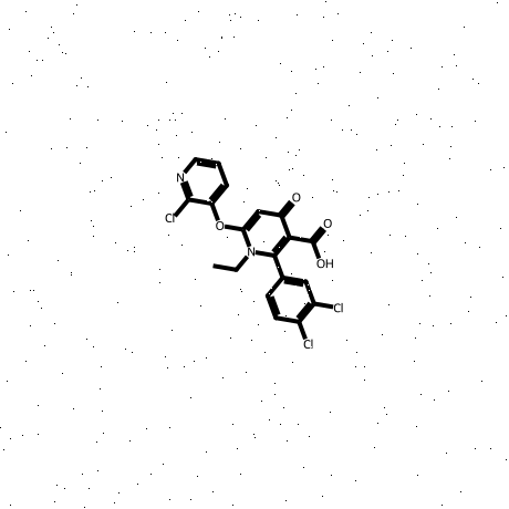 CCn1c(Oc2cccnc2Cl)cc(=O)c(C(=O)O)c1-c1ccc(Cl)c(Cl)c1